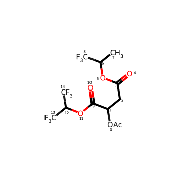 CC(=O)OC(CC(=O)OC(C)C(F)(F)F)C(=O)OC(C(F)(F)F)C(F)(F)F